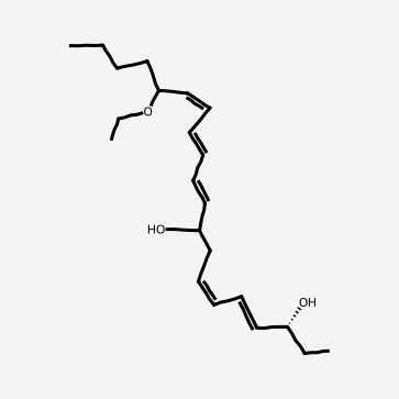 CCCCC(\C=C/C=C/C=C/C(O)C/C=C\C=C\[C@H](O)CC)OCC